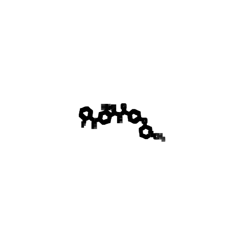 CN1CCCC(Oc2ccc(C(=O)Nc3n[nH]c4cc(Nc5ccccc5F)ccc34)cc2)C1